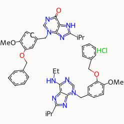 CCNc1ncn(Cc2ccc(OC)c(OCc3ccccc3)c2)c2nc(C(C)C)nc1-2.COc1ccc(Cn2cnc(=O)c3[nH]c(C(C)C)nc32)cc1OCc1ccccc1.Cl